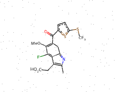 COC1=C(C(=O)c2ccc(SC(F)(F)F)s2)CC2=NC(C)=C(CC(=O)O)C2=C1F